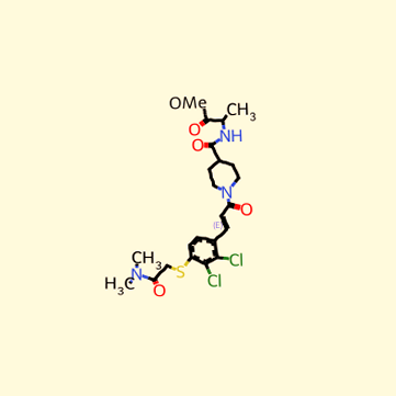 COC(=O)C(C)NC(=O)C1CCN(C(=O)/C=C/c2ccc(SCC(=O)N(C)C)c(Cl)c2Cl)CC1